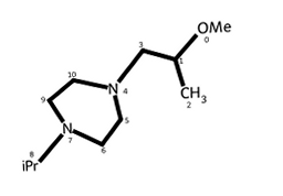 COC(C)CN1CCN(C(C)C)CC1